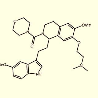 COc1ccc2[nH]cc(CCC3c4cc(OCCN(C)C)c(OC)cc4CCN3C(=O)N3CCOCC3)c2c1